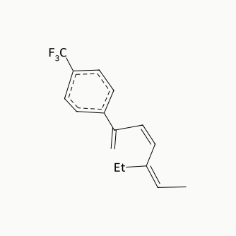 C=C(/C=C\C(=C/C)CC)c1ccc(C(F)(F)F)cc1